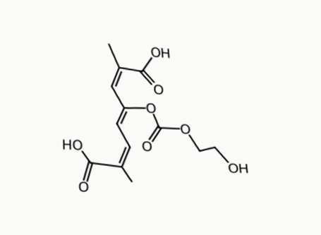 CC(=CC=C(C=C(C)C(=O)O)OC(=O)OCCO)C(=O)O